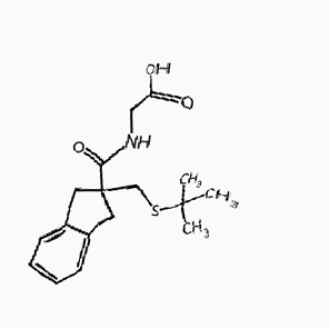 CC(C)(C)SCC1(C(=O)NCC(=O)O)Cc2ccccc2C1